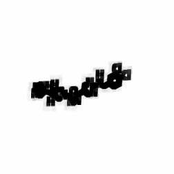 Clc1ccc(CNc2ncc(-c3nnc(N4C[C@@H]5C(c6cnn[nH]6)[C@@H]5C4)o3)cn2)cc1Cl